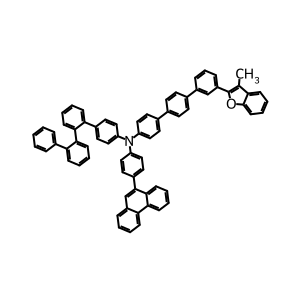 Cc1c(-c2cccc(-c3ccc(-c4ccc(N(c5ccc(-c6ccccc6-c6ccccc6-c6ccccc6)cc5)c5ccc(-c6cc7ccccc7c7ccccc67)cc5)cc4)cc3)c2)oc2ccccc12